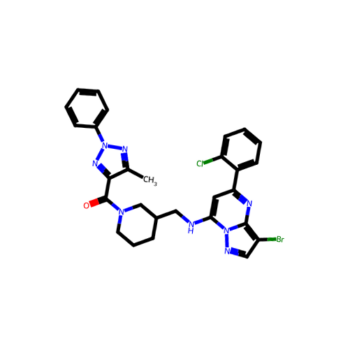 Cc1nn(-c2ccccc2)nc1C(=O)N1CCCC(CNc2cc(-c3ccccc3Cl)nc3c(Br)cnn23)C1